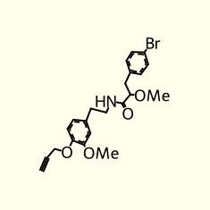 C#CCOc1ccc(CCNC(=O)C(Cc2ccc(Br)cc2)OC)cc1OC